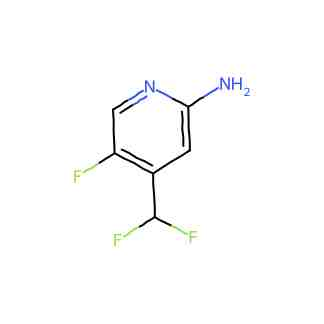 Nc1cc(C(F)F)c(F)cn1